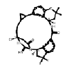 CC[C@]12CCC3CC3c3ccc4c(c3)[C@H](CC(C)(C)O4)NC(=O)c3ccc4c(c3)[C@@H](CC4(F)F)N(C(=N)N1)C(=O)C2